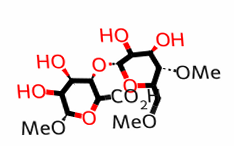 COCC1O[C@H](O[C@@H]2C(C(=O)O)O[C@H](OC)C(O)[C@H]2O)C(O)[C@@H](O)[C@@H]1OC